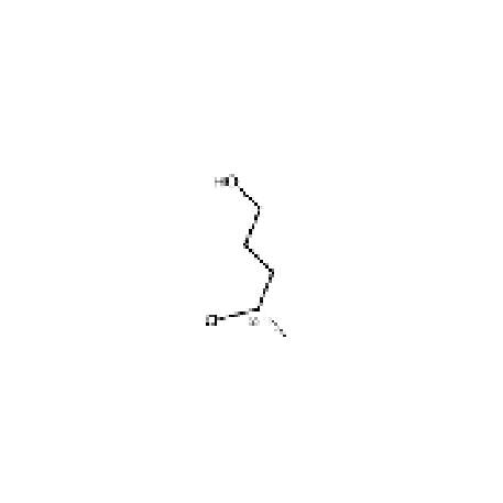 C[C@H](Cl)CCCO